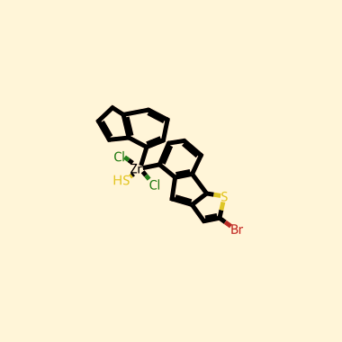 [SH][Zr]([Cl])([Cl])([c]1cccc2c1C=CC2)[c]1cccc2c1C=C1C=C(Br)SC12